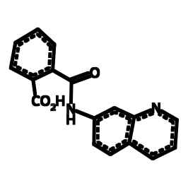 O=C(O)c1ccccc1C(=O)Nc1ccc2cccnc2c1